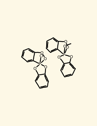 COP12(OOc3ccccc31)Oc1ccccc1O2.ClP12(OOc3ccccc31)Oc1ccccc1O2